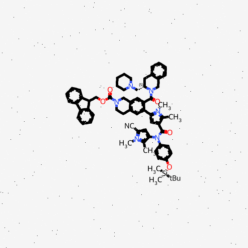 Cc1c(N(C(=O)c2cc(-c3cc4c(cc3C(=O)N3Cc5ccccc5C[C@H]3CN3CCCCC3)CN(C(=O)OCC3c5ccccc5-c5ccccc53)CC4)n(C)c2C)c2ccc(O[Si](C)(C)C(C)(C)C)cc2)cc(C#N)n1C